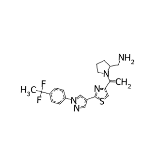 C=C(c1csc(-c2cnn(-c3ccc(C(C)(F)F)cc3)c2)n1)N1CCCC1CN